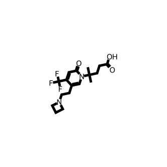 CC(C)(CCC(=O)O)n1cc(CCN2CCC2)c(C(F)(F)F)cc1=O